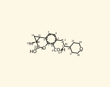 C[C@@H](Sc1ccc2c(c1C(=O)O)OB(O)[C@@H]1CC21)C1CCOCC1